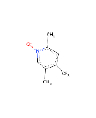 Cc1c[n+]([O-])c(C)cc1C(F)(F)F